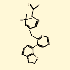 CC(C)(C)/C=C(\C=N/CC(F)F)Cc1ncncc1-c1cccc2c1OCC2